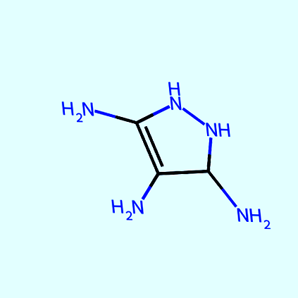 NC1=C(N)C(N)NN1